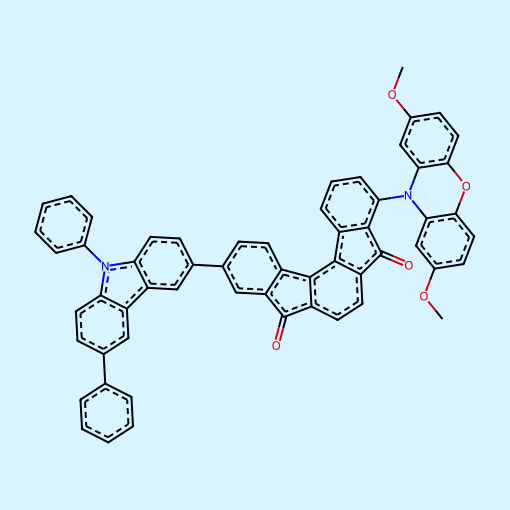 COc1ccc2c(c1)N(c1cccc3c1c(=O)c1ccc4c(=O)c5cc(-c6ccc7c(c6)c6cc(-c8ccccc8)ccc6n7-c6ccccc6)ccc5c4c13)c1cc(OC)ccc1O2